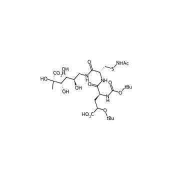 CC(=O)NSC[C@H](NC(=O)[C@H](CC(OC(C)(C)C)C(=O)O)NC(=O)OC(C)(C)C)C(=O)NC[C@@H](O)[C@@H](O)[C@H](O)[C@@](C)(O)C(=O)O